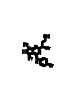 CC(C)N(CCO)c1nc(Nc2ccc(Br)cc2)c2c(n1)N(C(C)C)NN2C(C)C